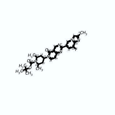 Cc1cn2cc(-c3ncc4c(=O)n(C5CC(C)N(C(=O)OC(C)(C)C)C(C)C5)ccc4n3)cc(F)c2n1